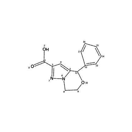 O=C(O)c1cc2n(n1)CCOC2c1ccccc1